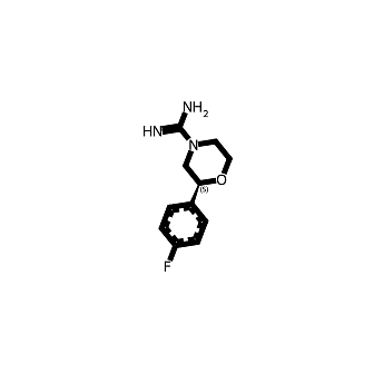 N=C(N)N1CCO[C@@H](c2ccc(F)cc2)C1